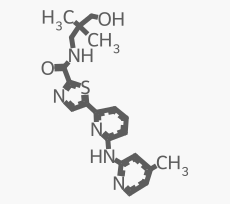 Cc1ccnc(Nc2cccc(-c3cnc(C(=O)NCC(C)(C)CO)s3)n2)c1